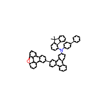 CC1(C)c2ccccc2-c2c(N(c3ccc(-c4ccccc4)cc3)c3ccc4c5ccccc5c5ccc(-c6ccc7c(c6)c6cccc8oc9cccc7c9c86)cc5c4c3)cccc21